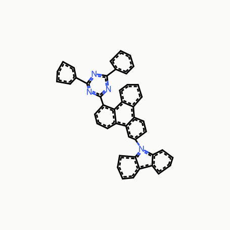 c1ccc(-c2nc(-c3ccccc3)nc(-c3cccc4c5cc(-n6c7ccccc7c7ccccc76)ccc5c5ccccc5c34)n2)cc1